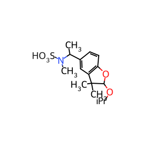 CC(C)OC1Oc2ccc(C(C)N(C)S(=O)(=O)O)cc2C1(C)C